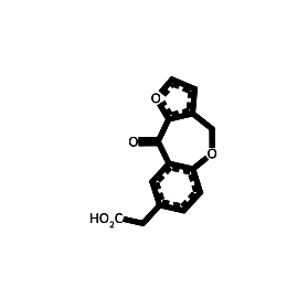 O=C(O)Cc1ccc2c(c1)C(=O)c1occc1CO2